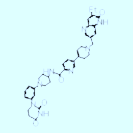 CCc1cc2ncc(CN3CC=C(c4ccc(C(=O)NC5CCN(c6cccc(N7CCC(=O)NC7=O)c6)CC5)nc4)CC3)cc2[nH]c1=O